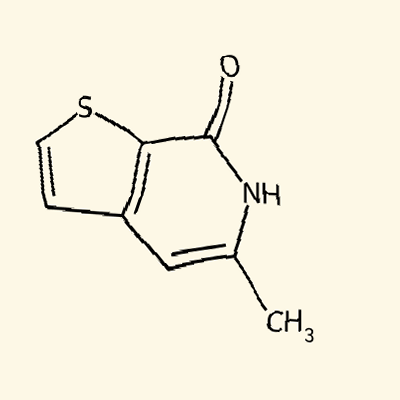 Cc1cc2ccsc2c(=O)[nH]1